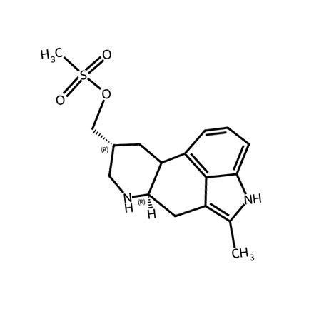 Cc1[nH]c2cccc3c2c1C[C@H]1NC[C@H](COS(C)(=O)=O)CC31